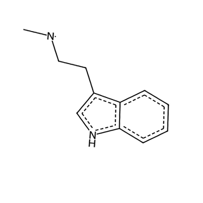 C[N]CCc1c[nH]c2ccccc12